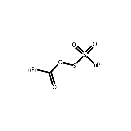 CCCC(=O)OSS(=O)(=O)CCC